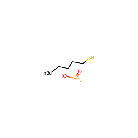 CCCCCCCCS.O=[PH2]O